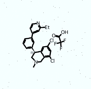 CCc1cc(-c2cccc([C@@H]3CN(C)Cc4c(Cl)cc(Cl)cc43)c2)ccn1.O=C(O)C(F)(F)F